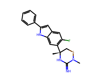 CN1SC[C@@](C)(c2cc3[nH]c(-c4ccccc4)cc3cc2F)NC1=N